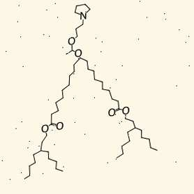 CCCCCC(CCCCC)CCOC(=O)CCCCCCCCCC(CCCCCCCCCC(=O)OCCC(CCCCC)CCCCC)OC(C)OCCCN1CCCC1